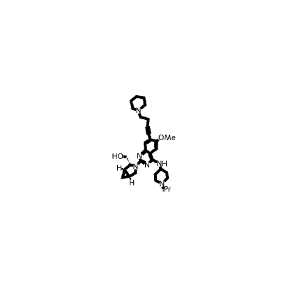 COc1cc2c(NC3CCN(C(C)C)CC3)nc(N3C[C@@H]4C[C@@H]4[C@@H]3CO)nc2cc1C#CCCN1CCCCC1